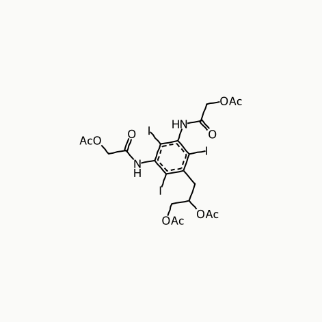 CC(=O)OCC(=O)Nc1c(I)c(CC(COC(C)=O)OC(C)=O)c(I)c(NC(=O)COC(C)=O)c1I